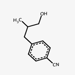 CC(CO)Cc1ccc(C#N)cc1